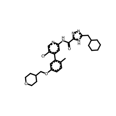 Cc1ccc(OCC2CCOCC2)cc1-c1cc(NC(=O)c2nnc(CC3CCCCC3)[nH]2)ncc1Cl